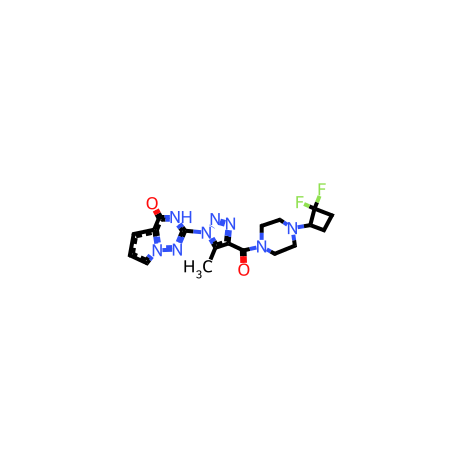 Cc1c(C(=O)N2CCN(C3CCC3(F)F)CC2)nnn1-c1nn2cccc2c(=O)[nH]1